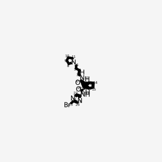 O=C(NCCCCN1CCCC1)C1[C@H]2C=C[C@@H]([C@H]1C(=O)Nc1cnc(Br)cn1)C21CC1